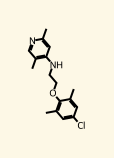 Cc1cc(NCCOc2c(C)cc(Cl)cc2C)c(C)cn1